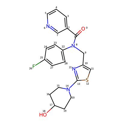 O=C(c1cccnc1)N(Cc1csc(N2CCC(O)CC2)n1)c1ccc(F)cc1